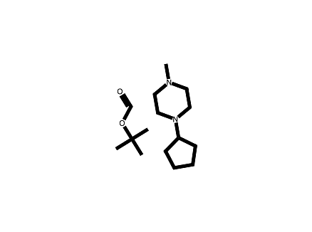 CC(C)(C)OC=O.CN1CCN(C2CCCC2)CC1